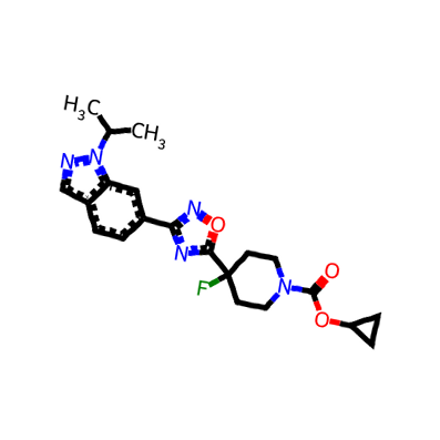 CC(C)n1ncc2ccc(-c3noc(C4(F)CCN(C(=O)OC5CC5)CC4)n3)cc21